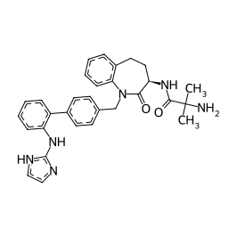 CC(C)(N)C(=O)N[C@@H]1CCc2ccccc2N(Cc2ccc(-c3ccccc3Nc3ncc[nH]3)cc2)C1=O